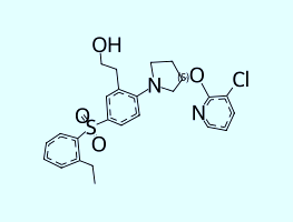 CCc1ccccc1S(=O)(=O)c1ccc(N2CC[C@H](Oc3ncccc3Cl)C2)c(CCO)c1